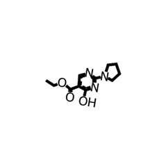 CCOC(=O)c1cnc(N2CCCC2)nc1O